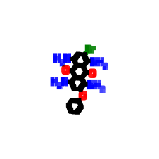 Nc1cc(Br)c(N)c2c1C(=O)c1c(N)cc(Oc3ccccc3)c(N)c1C2=O